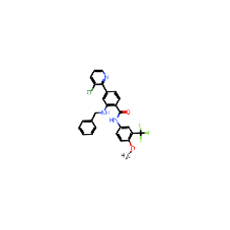 COc1ccc(NC(=O)c2ccc(-c3ncccc3Cl)cc2NCc2ccccc2)cc1C(F)(F)F